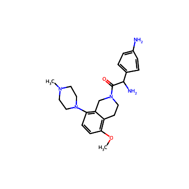 COc1ccc(N2CCN(C)CC2)c2c1CCN(C(=O)C(N)c1ccc(N)cc1)C2